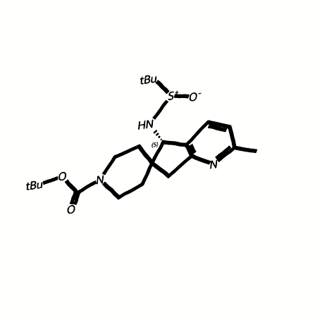 Cc1ccc2c(n1)CC1(CCN(C(=O)OC(C)(C)C)CC1)[C@@H]2N[S+]([O-])C(C)(C)C